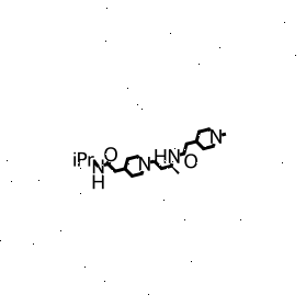 CC(C)NC(=O)CC1CCN(CC[C@H](C)NC(=O)CC2CCN(C)CC2)CC1